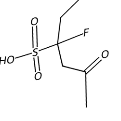 CCC(F)(CC(C)=O)S(=O)(=O)O